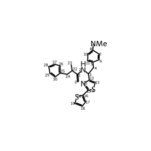 C=C(NC(Cc1ccc(NC)cc1)c1csc(-c2cccs2)n1)C(C)Cc1ccccc1